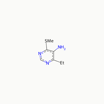 CCc1ncnc(SC)c1N